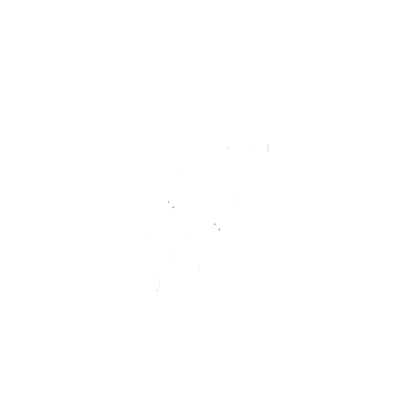 CC(C)c1cnc(C(F)(F)F)nc1